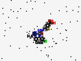 COc1ccc2c(c1)C(c1ccc(Cl)cc1)=N[C@@H](CC(=O)NCCc1csc3cc(B(O)O)ccc13)c1nnc(C)n1-2